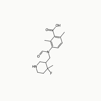 Cc1ccc(N(C=O)CC2CNCCC2(C)F)c(C)c1C(=O)O